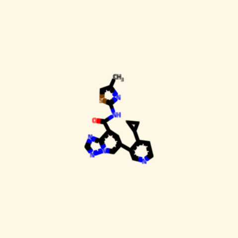 Cc1csc(NC(=O)c2cc(-c3cnccc3C3CC3)cn3ncnc23)n1